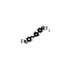 CCOc1ccc(CCc2ccc(-c3ccc(OC(F)(F)F)cc3)cc2)cc1